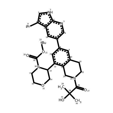 CC(C)c1c[nH]c2ncc(-c3cc4c(c(C5COCCN5C(=O)OC(C)(C)C)c3)CN(C(=O)C(C)(C)O)CC4)cc12